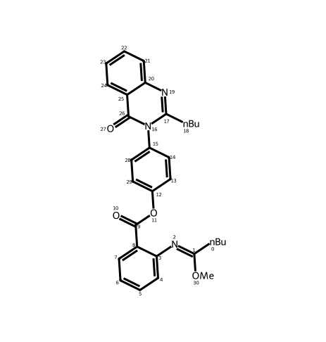 CCCCC(=Nc1ccccc1C(=O)Oc1ccc(-n2c(CCCC)nc3ccccc3c2=O)cc1)OC